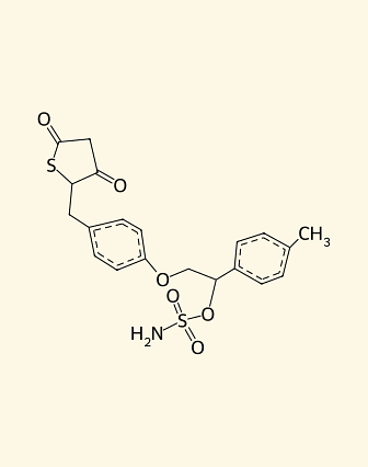 Cc1ccc(C(COc2ccc(CC3SC(=O)CC3=O)cc2)OS(N)(=O)=O)cc1